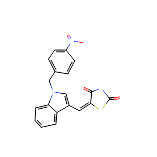 O=C1NC(=O)C(=Cc2cn(Cc3ccc([N+](=O)[O-])cc3)c3ccccc23)S1